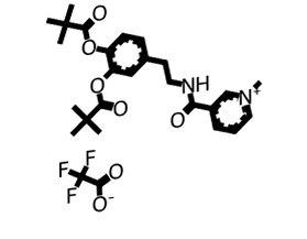 C[n+]1cccc(C(=O)NCCc2ccc(OC(=O)C(C)(C)C)c(OC(=O)C(C)(C)C)c2)c1.O=C([O-])C(F)(F)F